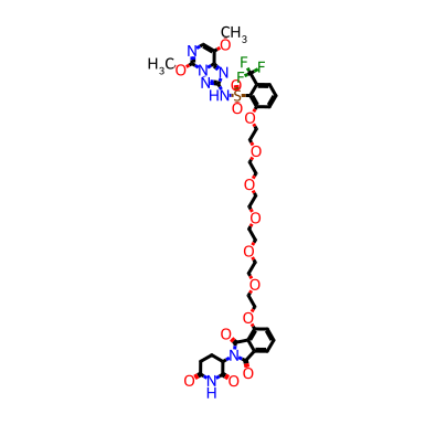 COc1cnc(OC)n2nc(NS(=O)(=O)c3c(OCCOCCOCCOCCOCCOCCOc4cccc5c4C(=O)N(C4CCC(=O)NC4=O)C5=O)cccc3C(F)(F)F)nc12